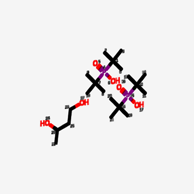 CC(C)(C)P(=O)(O)C(C)(C)C.CC(C)(C)P(=O)(O)C(C)(C)C.CC(O)CCO